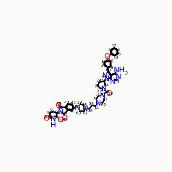 Nc1ncnc2c1c(-c1ccc(Oc3ccccc3)cc1)nn2C1CCCN(C(=O)N2CCN(CCCN3CCN(c4ccc5c(c4)C(=O)N(C4CCC(=O)NC4=O)C5=O)CC3)CC2)C1